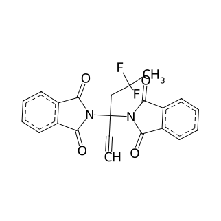 C#CC(CC(C)(F)F)(N1C(=O)c2ccccc2C1=O)N1C(=O)c2ccccc2C1=O